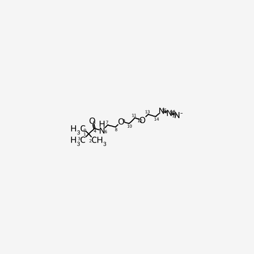 CC(C)(C)C(=O)NCCOCCOCCN=[N+]=[N-]